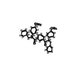 COc1ccc(N(Cc2ccccc2)C(=O)c2cccc(C(=O)N(Cc3ccccc3)c3ccc(OC)cc3)c2)cc1